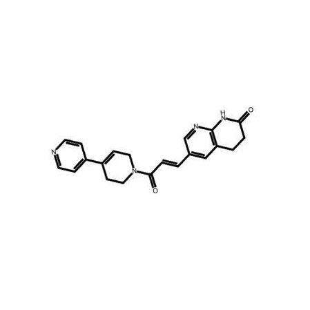 O=C1CCc2cc(C=CC(=O)N3CC=C(c4ccncc4)CC3)cnc2N1